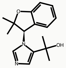 CC(C)(O)c1cncn1[C@@H]1c2ccccc2OC1(C)C